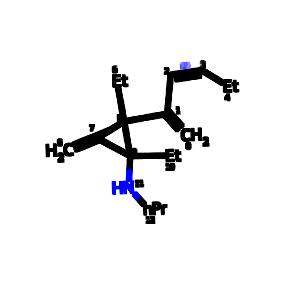 C=C(/C=C\CC)C1(CC)C(=C)C1(CC)NCCC